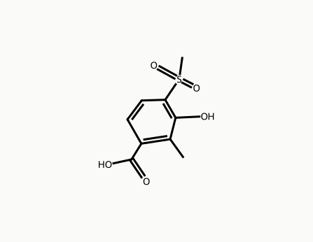 Cc1c(C(=O)O)ccc(S(C)(=O)=O)c1O